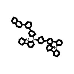 c1cc(-c2ccc(N(c3ccc(-c4ccc(-c5ccccc5-n5c6ccccc6c6ccccc65)cc4)cc3)c3cccc4c3oc3ccccc34)cc2)cc(-c2ccc3ccccc3c2)c1